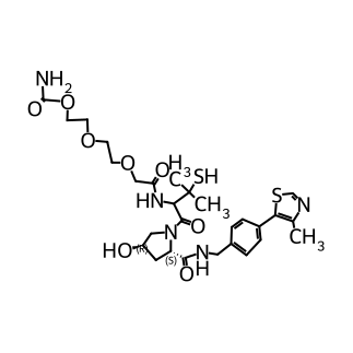 Cc1ncsc1-c1ccc(CNC(=O)[C@@H]2C[C@@H](O)CN2C(=O)C(NC(=O)COCCOCCOC(N)=O)C(C)(C)S)cc1